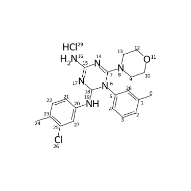 Cc1cccc(N2C(N3CCOCC3)=NC(N)=NC2Nc2ccc(C)c(Cl)c2)c1.Cl